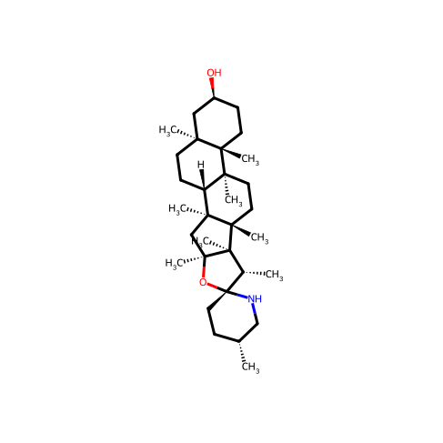 C[C@@H]1CC[C@@]2(NC1)O[C@@]1(C)C[C@@]3(C)[C@@H]4CC[C@@]5(C)C[C@@H](O)CC[C@]5(C)[C@@]4(C)CC[C@]3(C)[C@@]1(C)[C@@H]2C